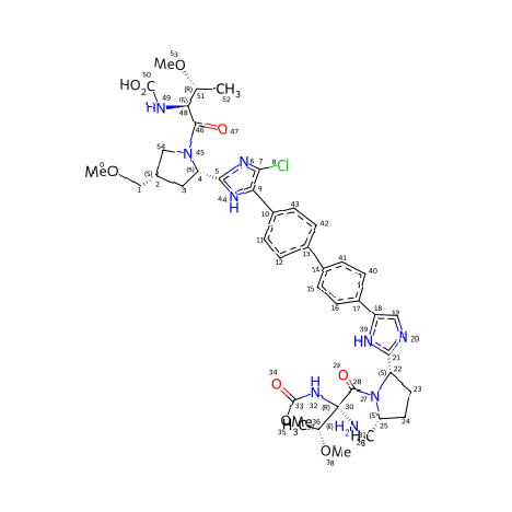 COC[C@H]1C[C@@H](c2nc(Cl)c(-c3ccc(-c4ccc(-c5cnc([C@@H]6CC[C@H](C)N6C(=O)[C@](N)(NC(=O)OC)[C@@H](C)OC)[nH]5)cc4)cc3)[nH]2)N(C(=O)[C@@H](NC(=O)O)[C@@H](C)OC)C1